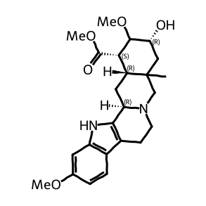 COC(=O)[C@@H]1C(OC)[C@H](O)CC2(C)CN3CCc4c([nH]c5cc(OC)ccc45)[C@H]3C[C@H]12